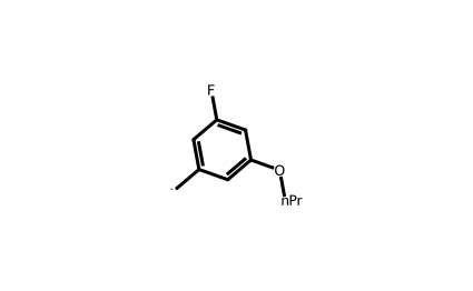 [CH2]c1cc(F)cc(OCCC)c1